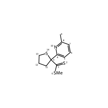 CSC(=S)C1(c2cccc(C)n2)CCCS1